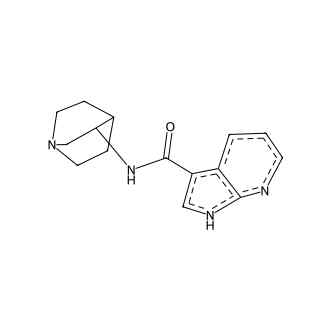 O=C(NC1CN2CCC1CC2)c1c[nH]c2ncccc12